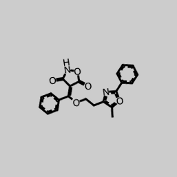 Cc1oc(-c2ccccc2)nc1CCOC(=C1C(=O)NOC1=O)c1ccccc1